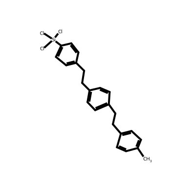 Cc1ccc(CCc2ccc(CCc3ccc([Si](Cl)(Cl)Cl)cc3)cc2)cc1